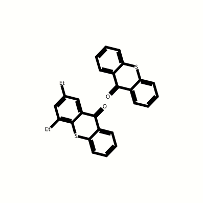 CCc1cc(CC)c2sc3ccccc3c(=O)c2c1.O=c1c2ccccc2sc2ccccc12